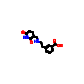 O=C1CCC(CNCCc2cccc(C(=O)O)c2)C(=O)N1